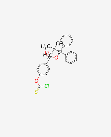 CC(C)(C)[Si](OC(=O)c1ccc(OC(=S)Cl)cc1)(c1ccccc1)c1ccccc1